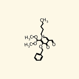 CCCCCn1cc(C=O)c(=O)c(OCc2ccccc2)c1C(OC)OC